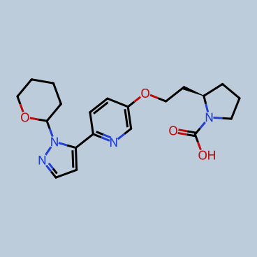 O=C(O)N1CCC[C@@H]1CCOc1ccc(-c2ccnn2C2CCCCO2)nc1